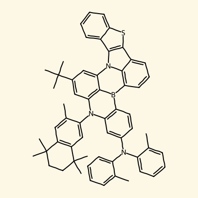 Cc1ccccc1N(c1ccc2c(c1)N(c1cc3c(cc1C)C(C)(C)CCC3(C)C)c1cc(C(C)(C)C)cc3c1B2c1cccc2c4sc5ccccc5c4n-3c12)c1ccccc1C